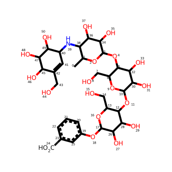 CC1OC(OC2C(CO)OC(OC3C(CO)OC(Oc4cccc(C(=O)O)c4)C(O)C3O)C(O)C2O)C(O)C(O)C1NC1C=C(CO)C(O)C(O)C1O